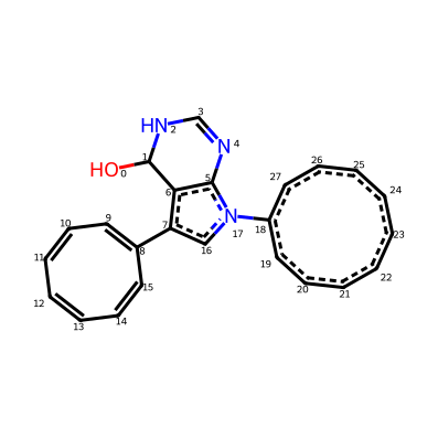 OC1NC=Nc2c1c(C1=C/C=C\C=C/C=C\1)cn2-c1ccccccccc1